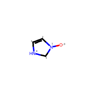 [O]N1C=CNC1